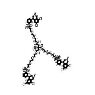 CN1Cc2c(Cl)cc(Cl)cc2[C@H](c2cccc(S(=O)(=O)NCCOCCOCCNC(=O)CC(O)(CC(=O)NCCOCCOCCNS(=O)(=O)c3cccc([C@@H]4CN(C)Cc5c(Cl)cc(Cl)cc54)c3)C(=O)NCCOCCOCCNS(=O)(=O)c3cccc([C@@H]4CN(C)Cc5c(Cl)cc(Cl)cc54)c3)c2)C1